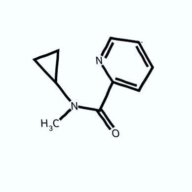 CN(C(=O)c1cc[c]cn1)C1CC1